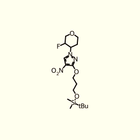 CC(C)(C)[Si](C)(C)OCCCOc1nn(C2CCOCC2F)cc1[N+](=O)[O-]